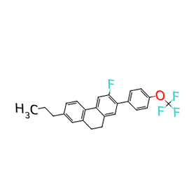 CCCc1ccc2c(c1)CCc1cc(-c3ccc(OC(F)(F)F)cc3)c(F)cc1-2